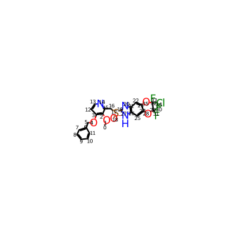 COc1c(OCc2ccccc2)ccnc1C[S+]([O-])c1nc2cc3c(cc2[nH]1)OC(F)(F)C(F)(Cl)O3